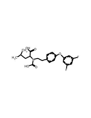 CC(C)CC(C(=O)O)N(CCc1ccc(Oc2cc(F)cc(F)c2)cc1)C(=O)O